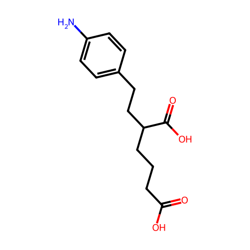 Nc1ccc(CCC(CCCC(=O)O)C(=O)O)cc1